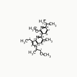 CCc1cn(C(C)COC)c2cc(C)c(-c3ccc(C(C)C)nc3OC)nc12